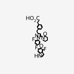 O=C(O)CCc1cccc(Cc2cc(N3CCCCC3=O)n(-c3cc(Oc4c(F)cc5[nH]ccc5c4F)ccc3F)n2)c1